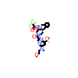 COCCN(C)c1cc([C@@H](C)OC)c2nc(C(=O)N3CC[C@]4(Cc5ccccc5CN4)[C@H](OC(=O)C(F)(F)F)C3)cn2c1